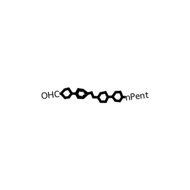 CCCCCC1CCC(C2CCC(CCc3ccc(C4CCC(C=O)CC4)cc3)CC2)CC1